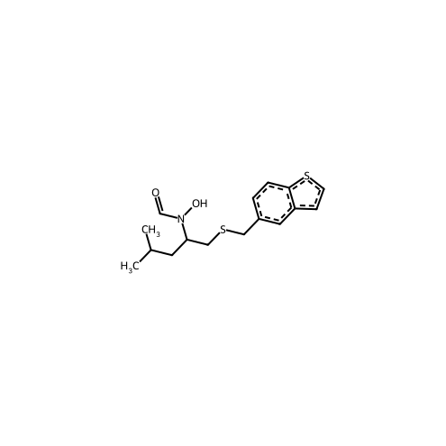 CC(C)CC(CSCc1ccc2sccc2c1)N(O)C=O